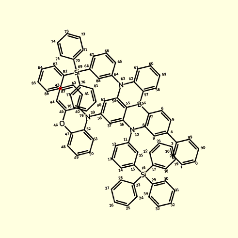 c1ccc(-c2ccc3c(c2)N(c2cccc([Si](c4ccccc4)(c4ccccc4)c4ccccc4)c2)c2cc(N4c5ccccc5Oc5ccccc54)cc4c2B3c2ccccc2N4c2cccc([Si](c3ccccc3)(c3ccccc3)c3ccccc3)c2)cc1